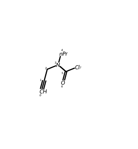 C#CCN(CCC)C(=O)Cl